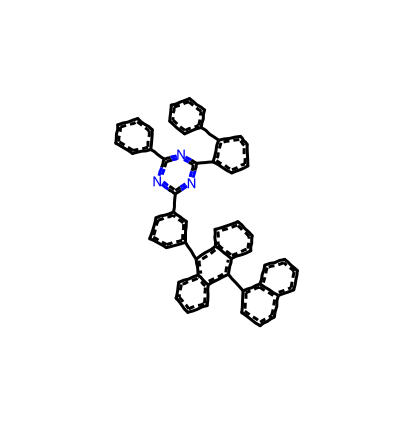 c1ccc(-c2nc(-c3cccc(-c4c5ccccc5c(-c5cccc6ccccc56)c5ccccc45)c3)nc(-c3ccccc3-c3ccccc3)n2)cc1